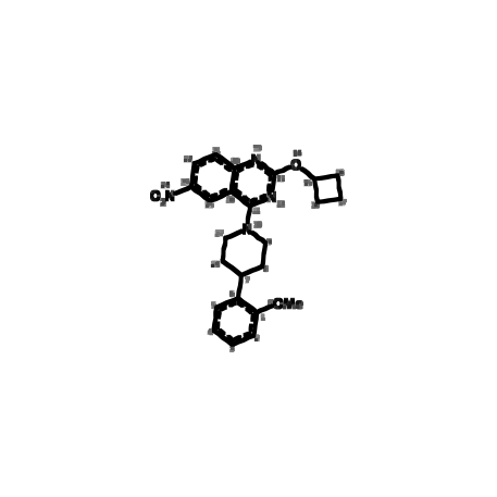 COc1ccccc1C1CCN(c2nc(OC3CCC3)nc3ccc([N+](=O)[O-])cc23)CC1